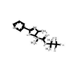 CC1N=C(c2cccnc2)SC1N(C)C(=O)OC(C)(C)C(F)(F)F